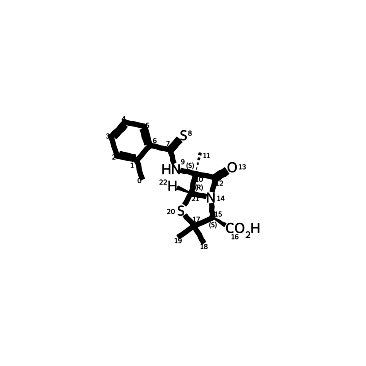 Cc1ccccc1C(=S)N[C@@]1(C)C(=O)N2[C@@H](C(=O)O)C(C)(C)S[C@@H]21